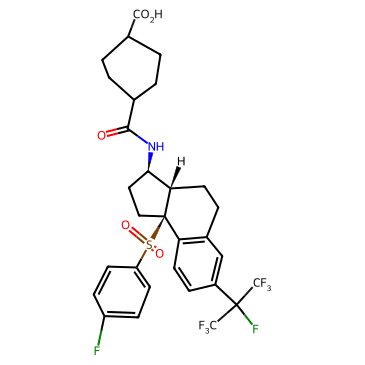 O=C(O)C1CCC(C(=O)N[C@@H]2CC[C@@]3(S(=O)(=O)c4ccc(F)cc4)c4ccc(C(F)(C(F)(F)F)C(F)(F)F)cc4CC[C@@H]23)CC1